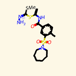 C=C(NC(=O)c1ccc(C)c(S(=O)(=O)N2CCCCCC2)c1)S/C(=N\N)SC